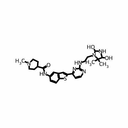 CN1CCC(C(=O)Nc2ccc3sc(-c4ccnc(NCCN5C(O)NC(O)C5(C)C)n4)cc3c2)CC1